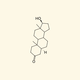 CC12CCC(=O)C[C@@H]1CCC1C2CCC2(C)C1CC[C@@H]2O